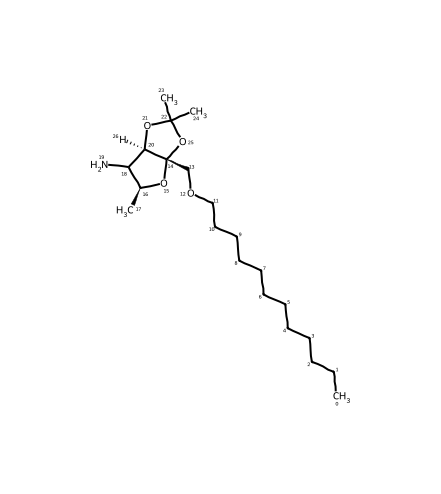 CCCCCCCCCCCCOC[C@@]12O[C@@H](C)C(N)[C@H]1OC(C)(C)O2